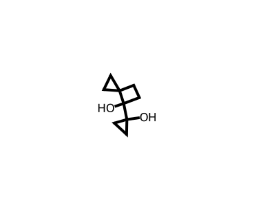 OC1(C2(O)CCC23CC3)CC1